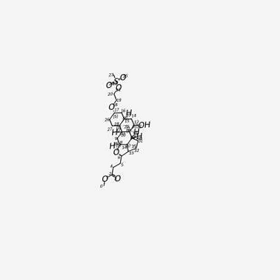 COC(=O)CCC1O[C@H]2C[C@H]3[C@@H]([C@H](O)C[C@@H]4C[C@@H](OCCOS(C)(=O)=O)CC[C@@]43C)[C@@H]3CCC1[C@@]23C